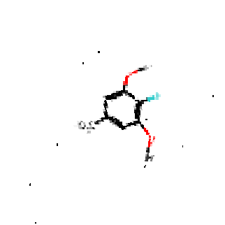 CC(C)Oc1cc(C(=O)O)cc(OC(C)C)c1F